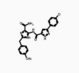 CC(=O)Oc1ccc(Cc2nc(C(N)=O)c(NC(=O)c3cc(-c4ccc(Cl)cc4)n[nH]3)[nH]2)cc1